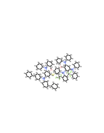 FC(F)(F)c1ccccc1N1c2cc(N(c3ccccc3)c3ccccc3)cc3c2B(c2ccccc2N3c2ccccc2)c2cc3c(c(C(F)(F)F)c21)Sc1cc(N(c2ccc(-c4ccccc4)cc2)c2cccc(-c4ccccc4)c2)cc2c1B3c1ccccc1N2c1ccccc1